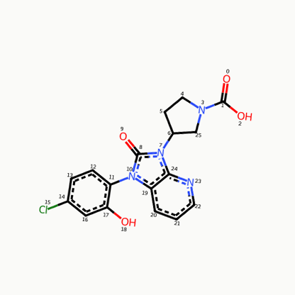 O=C(O)N1CCC(n2c(=O)n(-c3ccc(Cl)cc3O)c3cccnc32)C1